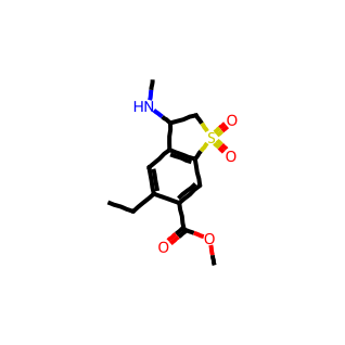 CCc1cc2c(cc1C(=O)OC)S(=O)(=O)CC2NC